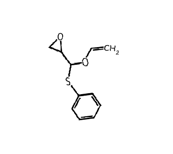 C=COC(Sc1ccccc1)C1CO1